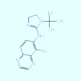 CCC(C)(C)N1CCN=C1Nc1ccc2nccnc2c1Br